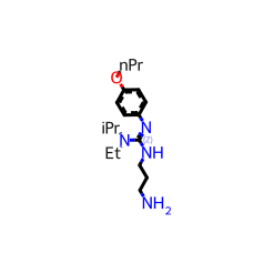 CCCOc1ccc(/N=C(/NCCCN)N(CC)C(C)C)cc1